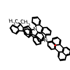 CC1(C)c2ccccc2-c2cc(-c3cccc(N(c4ccc(-c5cccc6cccc(-c7ccccc7)c56)cc4)c4cccc(-c5ccccc5-n5c6ccccc6c6ccccc65)c4)c3)ccc21